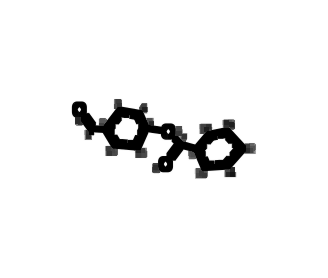 O=[C]c1ccc(OC(=O)c2ccccc2)cc1